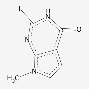 Cn1ccc2c(=O)[nH]c(I)nc21